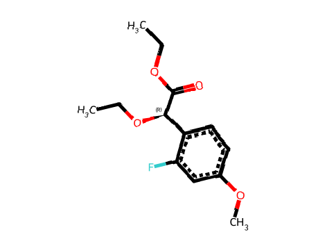 CCOC(=O)[C@H](OCC)c1ccc(OC)cc1F